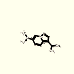 CC(C)c1cnn2cc(N(C)C)ccc12